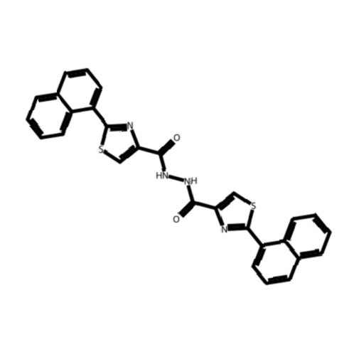 O=C(NNC(=O)c1csc(-c2cccc3ccccc23)n1)c1csc(-c2cccc3ccccc23)n1